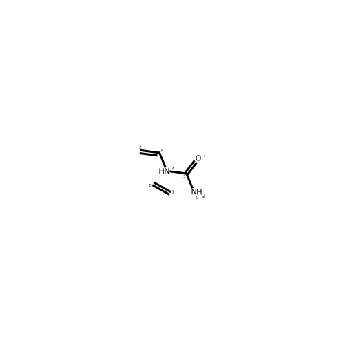 C=C.C=CNC(N)=O